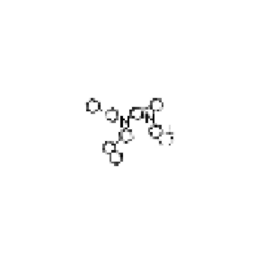 CC1(C)CCC(C)(C)c2cc(-n3c4ccccc4c4ccc(N(c5ccc(-c6ccccc6)cc5)c5cccc(-c6cccc7ccccc67)c5)cc43)ccc21